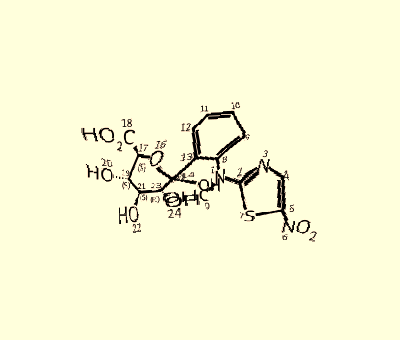 O=CN(c1ncc([N+](=O)[O-])s1)c1ccccc1[C@@]1(O)O[C@H](C(=O)O)[C@@H](O)[C@H](O)[C@H]1O